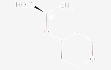 C[C@@H](OC1CCOCC1)C(=O)O